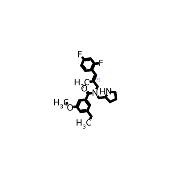 CCc1cc(OC)cc(C(=O)N(C/C(C)=C/c2ccc(F)cc2F)CC2CCCN2)c1